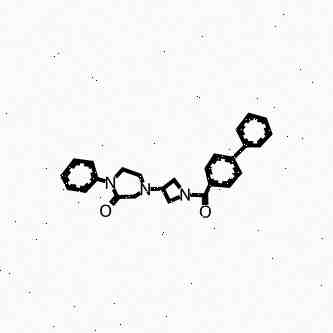 O=C(c1ccc(-c2ccccc2)cc1)N1CC(N2CCN(c3ccccc3)C(=O)C2)C1